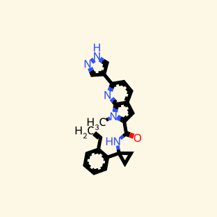 C=Cc1ccccc1C1(NC(=O)c2cc3ccc(-c4cn[nH]c4)nc3n2C)CC1